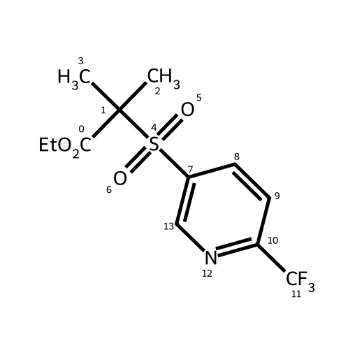 CCOC(=O)C(C)(C)S(=O)(=O)c1ccc(C(F)(F)F)nc1